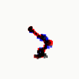 CC(C)[C@H](NC(=O)[C@@H](CCCCNC(=O)COC1CCCC(N(CCCCC(=O)Nc2ccc(COC(=O)N[C@@H](CO)C(=O)Nc3ccc4c(c3)[C@@]3(C)CCC[C@](C)(C(=O)NC(=O)[C@@]5(C)CCC[C@]6(C)c7cc(O)ccc7CC[C@@H]56)[C@@H]3CC4)cc2)C(N)=O)C/C(N[C@@H]2O[C@H](CO)[C@H](O)[C@H](O)[C@H]2O)=C\1N)NC(=O)CCOCCOCCOCCOCCNC(=O)CCC(=O)N1Cc2ccccc2C#Cc2ccccc21)C(N)=O